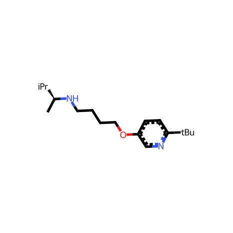 CC(C)[C@H](C)NCCCCOc1ccc(C(C)(C)C)nc1